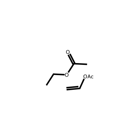 C=COC(C)=O.CCOC(C)=O